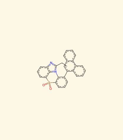 CCc1nc2cccc3c2n1-c1c(-c2cc4ccccc4c4ccccc24)cccc1S3(=O)=O